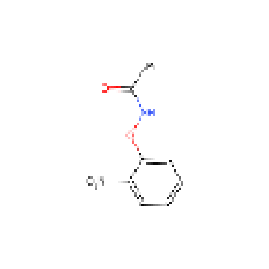 CC(C)C(=O)NOc1ccccc1[N+](=O)[O-]